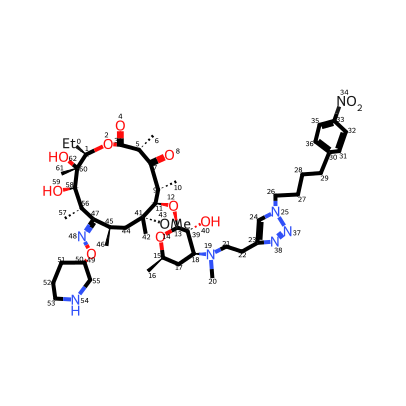 CC[C@H]1OC(=O)[C@H](C)C(=O)[C@H](C)[C@@H](O[C@@H]2O[C@H](C)C[C@H](N(C)CCc3cn(CCCCc4ccc([N+](=O)[O-])cc4)nn3)[C@H]2O)[C@](C)(OC)C[C@@H](C)/C(=N\O[C@@H]2CCCNC2)[C@H](C)[C@@H](O)[C@]1(C)O